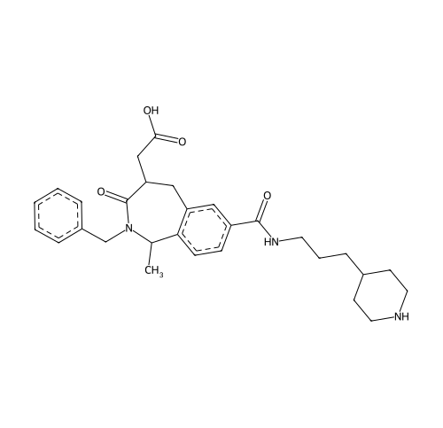 CC1c2ccc(C(=O)NCCCC3CCNCC3)cc2CC(CC(=O)O)C(=O)N1Cc1ccccc1